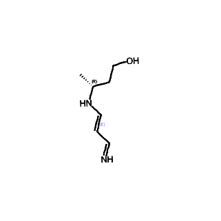 C[C@H](CCO)N/C=C/C=N